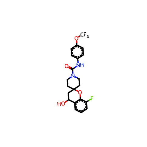 O=C(Nc1ccc(OC(F)(F)F)cc1)N1CCC2(CC1)CC(O)c1cccc(F)c1O2